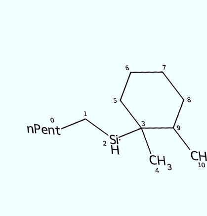 CCCCCC[SiH]C1(C)CCCCC1C